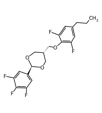 CCCc1cc(F)c(OC[C@H]2CO[C@H](c3cc(F)c(F)c(F)c3)OC2)c(F)c1